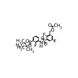 CC(=O)OCc1cc(F)cc(S(=O)(=O)Nc2cccc(B3OC(C)(C)C(C)(C)O3)c2F)c1F